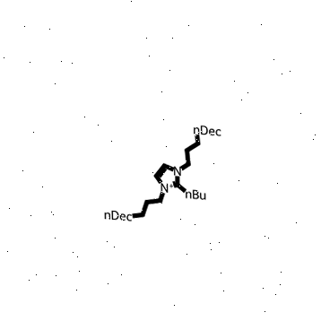 CCCCCCCCCCCCCn1cc[n+](CCCCCCCCCCCCC)c1CCCC